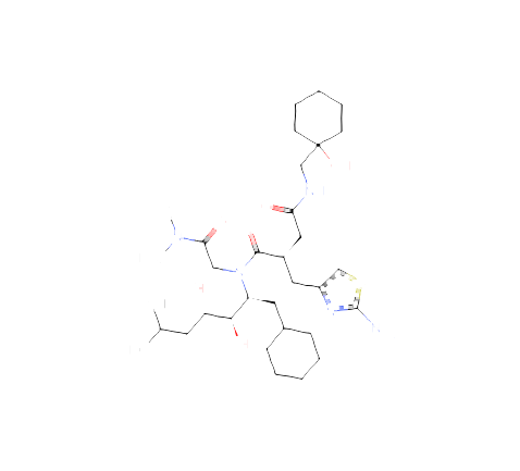 CC(C)C[C@H](O)[C@H](O)[C@H](CC1CCCCC1)N(CC(=O)N(C)C)C(=O)[C@@H](CC(=O)NCC1(O)CCCCC1)Cc1csc(N)n1